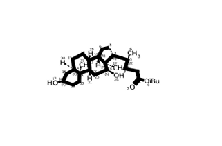 CC(C)COC(=O)CC[C@@H](C)[C@H]1CC[C@H]2[C@@H]3CC[C@@H]4C[C@H](O)CC[C@]4(C)[C@H]3C[C@H](O)[C@]12C